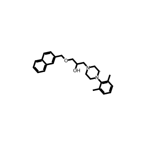 Cc1cccc(C)c1N1[CH]CN(CC(O)COCc2ccc3ccccc3c2)CC1